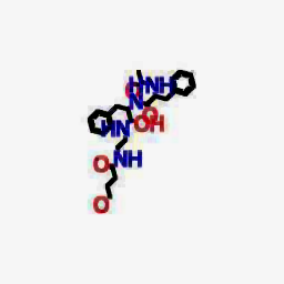 CC(=O)NC(Cc1ccccc1)C(=O)NC(Cc1ccccc1)C(O)NCCNC(=O)CCC=O